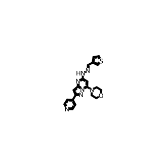 C(=NNc1cc(N2CCOCC2)n2nc(-c3ccncc3)cc2n1)c1ccsc1